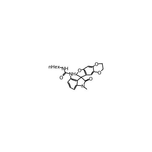 CCCCCCNC(=O)Nc1cccc2c1C1(COc3cc4c(cc31)OCCO4)C(=O)N2C